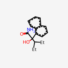 CCC(CC)C(O)(C(N)=O)c1cccc2ccccc12